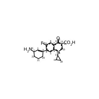 NC1C=C(c2cc3c(cc2F)c(=O)c(C(=O)O)cn3C2CC2)CCC1